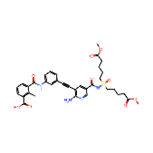 COC(=O)CCCCS(=O)(CCCCC(=O)OC)=NC(=O)c1cnc(N)c(C#Cc2cccc(NC(=O)c3cccc(C(=O)O)c3C)c2)c1